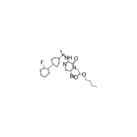 CCCCOC(=O)Cn1c(Br)cnc(N[C@H](C)c2ccc(-c3ccccc3F)cc2)c1=O